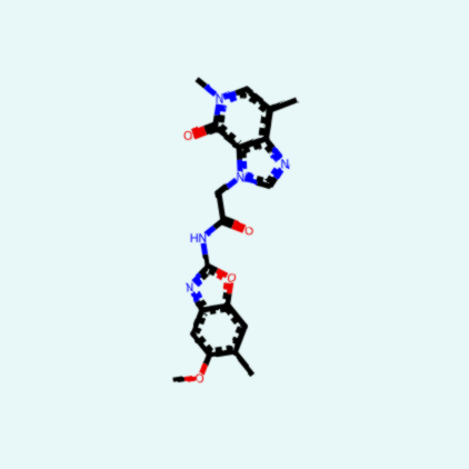 COc1cc2nc(NC(=O)Cn3cnc4c(C)cn(C)c(=O)c43)oc2cc1C